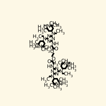 CCN(c1nc(NCC(=O)OCCOC(=O)CNc2nc(N(CC)C3CC(C)(C)NC(C)(C)C3)nc(N(CC)C3CC(C)(C)NC(C)(C)C3)n2)nc(N(CC)C2CC(C)(C)NC(C)(C)C2)n1)C1CC(C)(C)NC(C)(C)C1